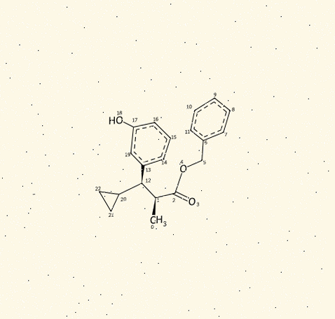 C[C@H](C(=O)OCc1ccccc1)[C@H](c1cccc(O)c1)C1CC1